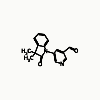 CC1(C)C(=O)N(c2cncc(C=O)c2)c2ccccc21